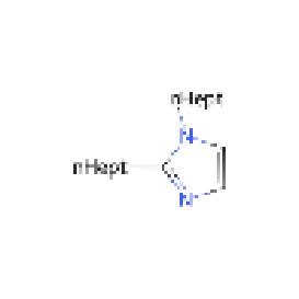 CCCCCCCc1nccn1CCCCCCC